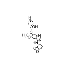 COc1cc2c(Nc3cccc4c3OCO4)ncnc2cc1OCCC1(O)CCNCC1